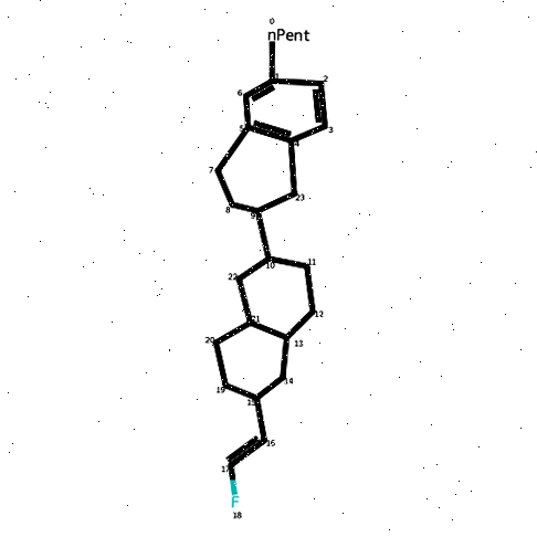 CCCCCc1ccc2c(c1)CCC(C1CCC3CC(C=CF)CCC3C1)C2